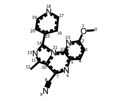 COc1ccc2nc(C#N)c3c(C)nc(-c4ccncc4)n3c2n1